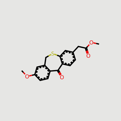 COC(=O)Cc1ccc2c(c1)SCc1cc(OC)ccc1C2=O